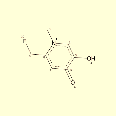 Cn1cc(O)c(=O)cc1CF